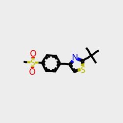 CC(C)(C)c1nc(-c2ccc(S(C)(=O)=O)cc2)cs1